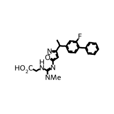 CNC(=Nc1cc(C(C)c2ccc(-c3ccccc3)c(F)c2)no1)NCC(=O)O